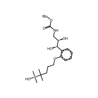 CC(C)(C)OC(=O)NC[C@@H](O)[C@H](O)c1ccccc1OCCCC(C)(C)[Si](C)(C)O